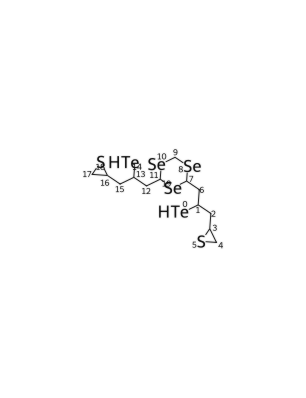 [TeH]C(CC1CS1)CC1[Se]C[Se]C(CC([TeH])CC2CS2)[Se]1